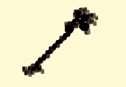 Cc1sc2c(c1C)C(c1ccc(Cl)cc1)=N[C@@H](CC(=O)Nc1ccc(CCCOCCOCCOCCOCCOCCC(=O)OC(C)(C)C)cc1)c1nnc(C)n1-2